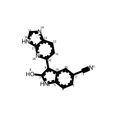 N#Cc1ccc2[nH]c(O)c(-c3ccc4nc[nH]c4n3)c2c1